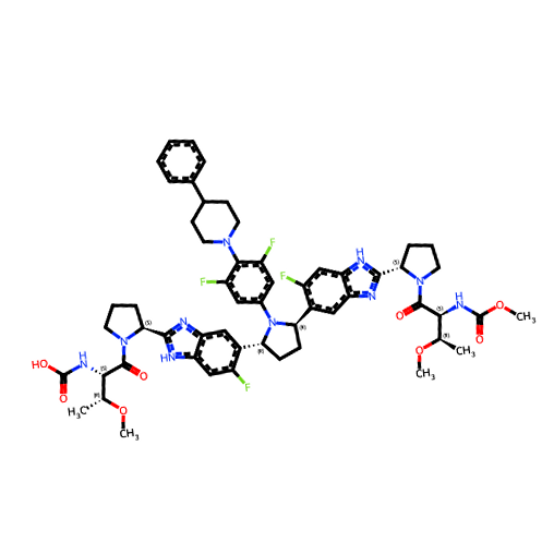 COC(=O)N[C@H](C(=O)N1CCC[C@H]1c1nc2cc([C@H]3CC[C@H](c4cc5nc([C@@H]6CCCN6C(=O)[C@@H](NC(=O)O)[C@@H](C)OC)[nH]c5cc4F)N3c3cc(F)c(N4CCC(c5ccccc5)CC4)c(F)c3)c(F)cc2[nH]1)[C@@H](C)OC